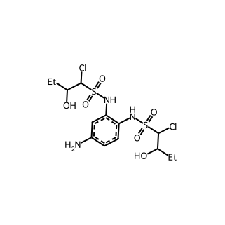 CCC(O)C(Cl)S(=O)(=O)Nc1ccc(N)cc1NS(=O)(=O)C(Cl)C(O)CC